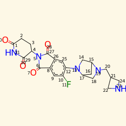 O=C1CCC(N2C(=O)c3cc(F)c(N4CC5CC4CN5CC4CNC4)cc3C2=O)C(=O)N1